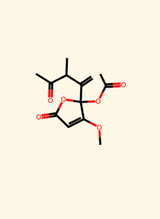 C=C(C(C)C(C)=O)C1(OC(C)=O)OC(=O)C=C1OC